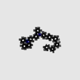 c1ccc(-c2cccc(-c3cccc(-c4cccc(-c5ccc(-c6ccc(-n7c8ccccc8c8cc(-c9ccc%10c(c9)c9ccccc9n%10-c9ccccc9-c9ccccc9)ccc87)cc6)cc5)c4)c3)c2)cc1